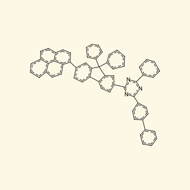 c1ccc(-c2ccc(-c3nc(-c4ccccc4)nc(-c4ccc5c(c4)C(c4ccccc4)(c4ccccc4)c4cc(-c6ccc7ccc8cccc9ccc6c7c89)ccc4-5)n3)cc2)cc1